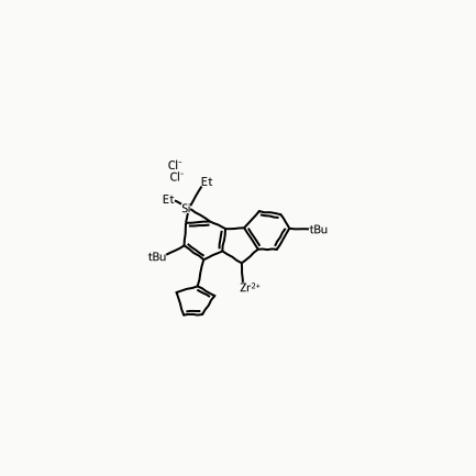 CC[Si]1(CC)c2c3c(c(C4=CC=CC4)c(C(C)(C)C)c21)[CH]([Zr+2])c1cc(C(C)(C)C)ccc1-3.[Cl-].[Cl-]